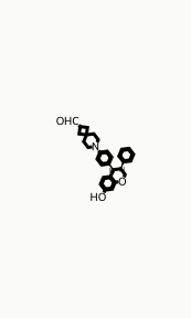 O=CC1CC2(CCN(c3ccc([C@@H]4c5ccc(O)cc5OC[C@@H]4c4ccccc4)cc3)CC2)C1